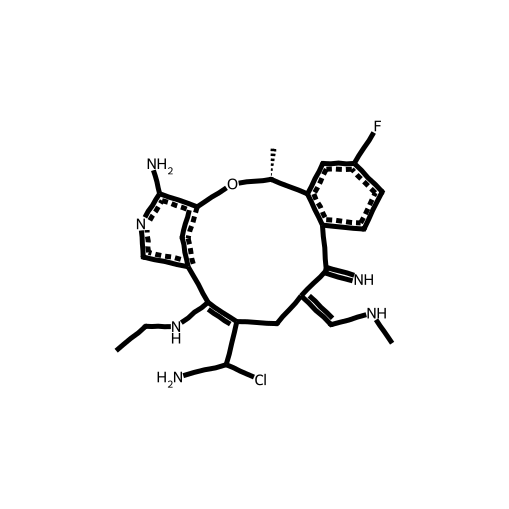 CCN/C1=C(\C(N)Cl)C/C(=C/NC)C(=N)c2ccc(F)cc2[C@@H](C)Oc2cc1cnc2N